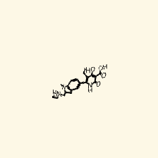 CCNCc1cc2cc(-c3[nH]c(=O)c(C(=O)O)c(O)c3CC)ccc2n1C